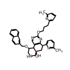 Cc1cccc(CCCOc2ncc(C3CCNCC3OCc3ccc4ccccc4c3)c(C(CCO)c3cccc(C)n3)n2)n1